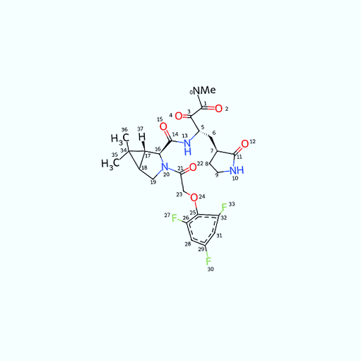 CNC(=O)C(=O)[C@H](C[C@@H]1CCNC1=O)NC(=O)[C@@H]1[C@@H]2C(CN1C(=O)COc1c(F)cc(F)cc1F)C2(C)C